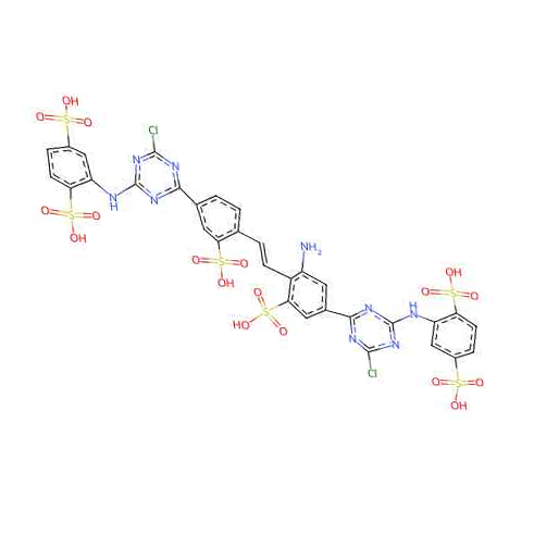 Nc1cc(-c2nc(Cl)nc(Nc3cc(S(=O)(=O)O)ccc3S(=O)(=O)O)n2)cc(S(=O)(=O)O)c1C=Cc1ccc(-c2nc(Cl)nc(Nc3cc(S(=O)(=O)O)ccc3S(=O)(=O)O)n2)cc1S(=O)(=O)O